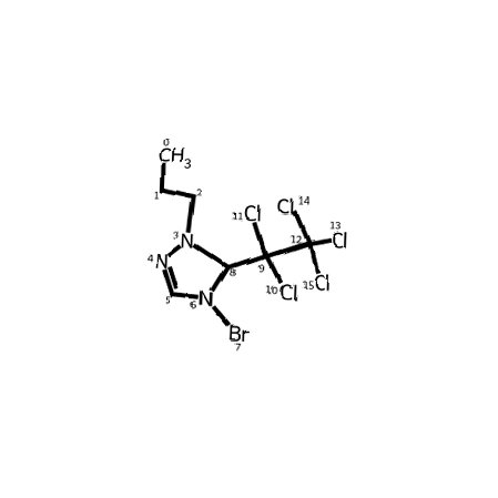 CCCN1N=CN(Br)C1C(Cl)(Cl)C(Cl)(Cl)Cl